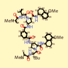 C=C(C)[C@H](NC(=O)[C@H](C)NC)C(=O)N1C[C@@H](NC(=O)c2cccc(C(=O)N[C@H]3C[C@@H](C(=O)N[C@@H]4CCCc5c(OC)cccc54)N(C(=O)[C@@H](NC(=O)[C@H](C)NC)C(C)(C)C)C3)c2)C[C@H]1C(=O)N[C@@H]1CCCc2c(OC)cccc21